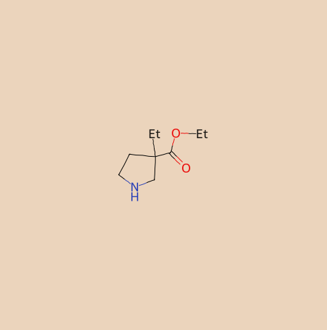 CCOC(=O)C1(CC)CCNC1